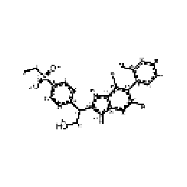 CCS(=O)(=O)c1ccc(C(CO)c2nc3c(C)c(-c4ccccc4C)c(C)cc3[nH]2)cc1